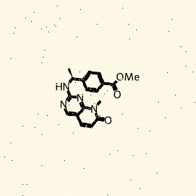 COC(=O)c1ccc([C@H](C)Nc2ncc3ccc(=O)n(C)c3n2)cc1